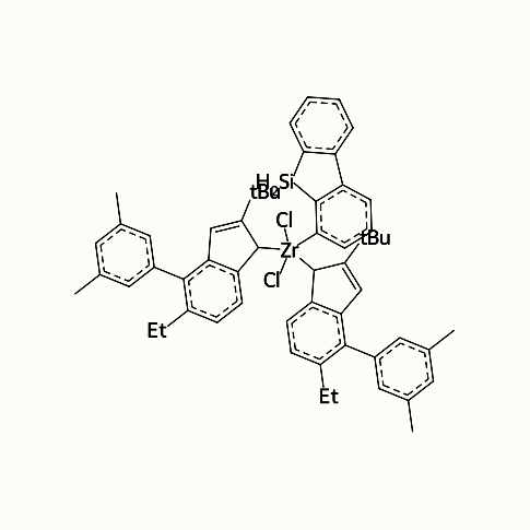 CCc1ccc2c(c1-c1cc(C)cc(C)c1)C=C(C(C)(C)C)[CH]2[Zr]([Cl])([Cl])([c]1cccc2c1[SiH2]c1ccccc1-2)[CH]1C(C(C)(C)C)=Cc2c1ccc(CC)c2-c1cc(C)cc(C)c1